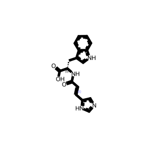 O=C(/C=C/c1cnc[nH]1)N[C@@H](Cc1c[nH]c2ccccc12)C(=O)O